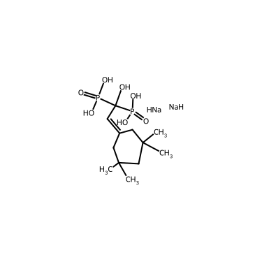 CC1(C)CC(=CC(O)(P(=O)(O)O)P(=O)(O)O)CC(C)(C)C1.[NaH].[NaH]